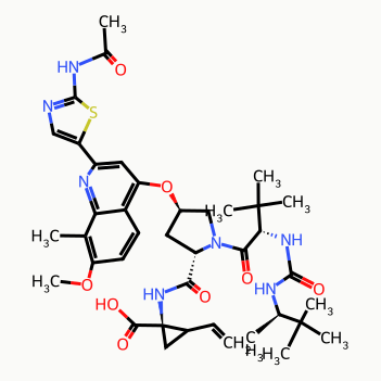 C=CC1C[C@]1(NC(=O)[C@@H]1C[C@@H](Oc2cc(-c3cnc(NC(C)=O)s3)nc3c(C)c(OC)ccc23)CN1C(=O)[C@@H](NC(=O)N[C@H](C)C(C)(C)C)C(C)(C)C)C(=O)O